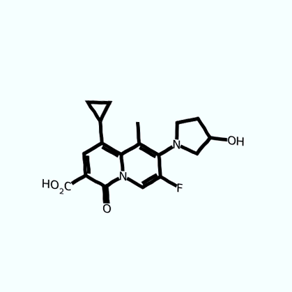 Cc1c(N2CCC(O)C2)c(F)cn2c(=O)c(C(=O)O)cc(C3CC3)c12